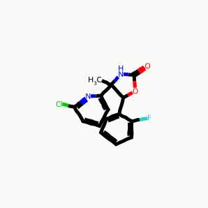 CC1(c2cccc(Cl)n2)NC(=O)OC1c1ccccc1F